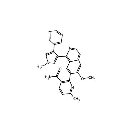 COc1cc2ncnc(-c3cn(C)nc3-c3ccccc3)c2cc1-c1nc(C)ccc1C(N)=O